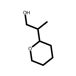 CC(CO)C1CCCCO1